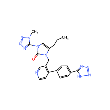 CCCc1cn(-c2nnnn2C)c(=O)n1Cc1cnccc1-c1ccc(-c2nnn[nH]2)cc1